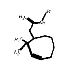 C=C(CC1CCCC/C=C\C1(C)C)NC(C)C